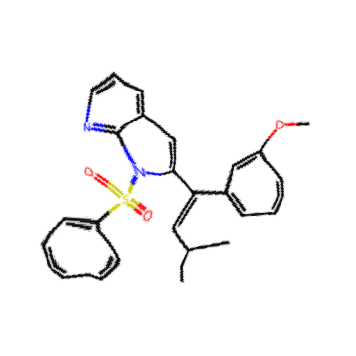 COc1cccc(C(=CC(C)C)c2cc3cccnc3n2S(=O)(=O)c2ccccc2)c1